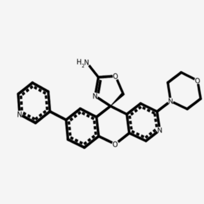 NC1=N[C@@]2(CO1)c1cc(-c3cccnc3)ccc1Oc1cnc(N3CCOCC3)cc12